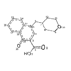 O=C(O)c1cn(CC2CCOCC2)c2ccccc2c1=O